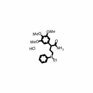 CCN(CCC(C(N)=O)c1cc(OC)c(OC)c(OC)c1)c1ccccc1.Cl